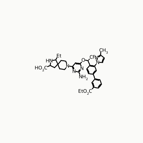 CCOC(=O)c1cccc(-c2ccc([C@@H](Oc3cc(N4CCC5(CC4)CC(C(=O)O)NC5CC)nc(N)n3)C(F)(F)F)c(-n3ccc(C)n3)c2)c1